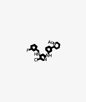 CC(=O)N1CCCCC1c1cccc(Nc2cc(NCc3cccc(F)c3)c(Cl)cn2)c1